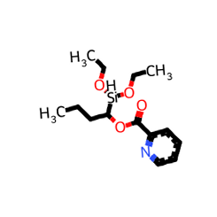 CCCC(OC(=O)c1ccccn1)[SiH](OCC)OCC